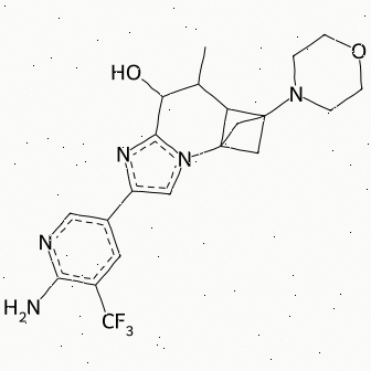 CC1C(O)c2nc(-c3cnc(N)c(C(F)(F)F)c3)cn2C23CC(N4CCOCC4)(C2)C13